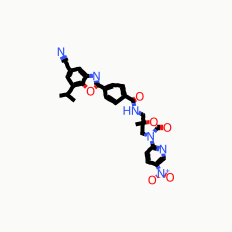 CC(C)c1cc(C#N)cc2nc(-c3ccc(C(=O)NCC4(C)CN(c5ccc([N+](=O)[O-])cn5)C(=O)O4)cc3)oc12